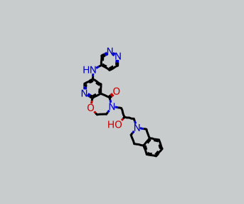 O=C1c2cc(Nc3ccnnc3)cnc2OCCN1CC(O)CN1CCc2ccccc2C1